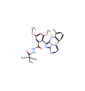 COc1cc(OC)c(-c2nc3ncccn3c2Nc2c(Cl)cccc2Cl)c(C(=O)NNC(=O)C(C)(C)C)c1